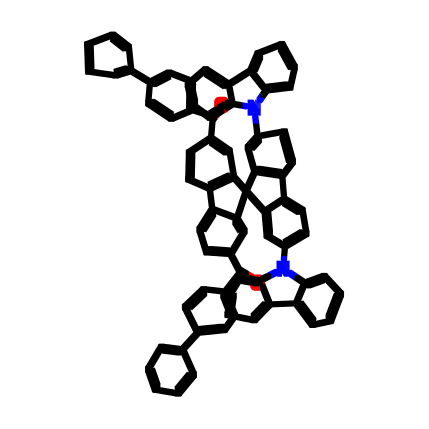 O=C(c1ccc(-c2ccccc2)cc1)c1ccc2c(c1)C1(c3cc(C(=O)c4ccc(-c5ccccc5)cc4)ccc3-2)c2cc(-n3c4ccccc4c4ccccc43)ccc2-c2ccc(-n3c4ccccc4c4ccccc43)cc21